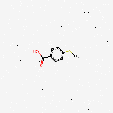 CSc1ccc(C(=O)O)cc1